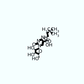 C[N+](C)(C)CCOP(=O)(O)c1cn([C@@H]2O[C@H](CO)[C@@H](O)[C@H]2O)c(=O)nc1N